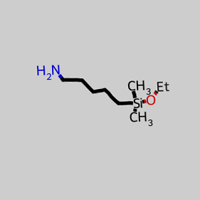 CCO[Si](C)(C)CCCCCN